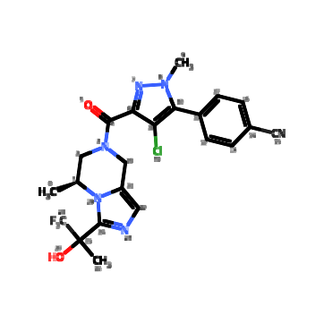 C[C@H]1CN(C(=O)c2nn(C)c(-c3ccc(C#N)cc3)c2Cl)Cc2cnc(C(C)(O)C(F)(F)F)n21